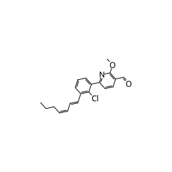 CCC/C=C\C=C\c1cccc(-c2ccc(C=O)c(OC)n2)c1Cl